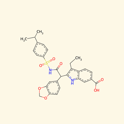 CCc1c(C(C(=O)NS(=O)(=O)c2ccc(C(C)C)cc2)c2ccc3c(c2)OCO3)[nH]c2cc(C(=O)O)ccc12